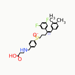 Cc1ccc(/C=C(/CCC[S+]([O-])c2ccc(CNCCC(=O)O)cc2)c2cc(F)cc(F)c2)cc1C